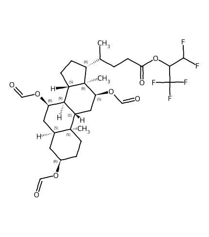 CC(CCC(=O)OC(C(F)F)C(F)(F)F)[C@H]1CC[C@H]2[C@@H]3[C@H](OC=O)C[C@@H]4C[C@H](OC=O)CC[C@]4(C)[C@H]3C[C@H](OC=O)[C@]12C